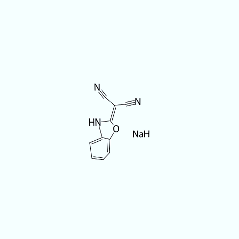 N#CC(C#N)=C1Nc2ccccc2O1.[NaH]